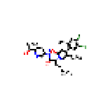 CNC(=O)c1ccc(NC(=O)C(CCOC)n2cc(OC)c(-c3cc(Cl)c(F)cc3C(C)C)cc2=O)cn1